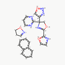 C1=NOCC1.c1ccc2ccccc2c1.c1cnc(C2(c3conn3)COC(c3ncco3)=N2)nc1